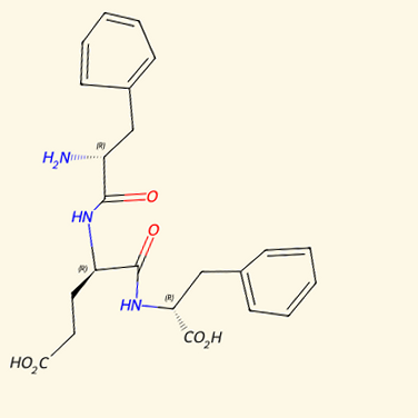 N[C@H](Cc1ccccc1)C(=O)N[C@H](CCC(=O)O)C(=O)N[C@H](Cc1ccccc1)C(=O)O